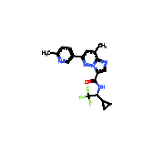 Cc1ccc(-c2cc(C)c3ncc(C(=O)N[C@@H](C4CC4)C(F)(F)F)n3n2)cn1